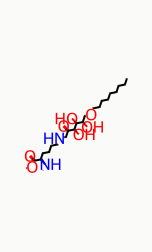 CCCCCCCCCOCC(O)C(O)C(O)C(=O)CNCCCCC(NC)C(=O)OC